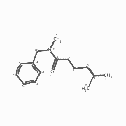 CC(C)CCCC(=O)N(C)Cc1ccccc1